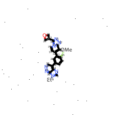 CCn1cnc2c(-c3ccc(F)c(-c4ccn5c(C6COC6)nnc5c4OC)c3)cnnc21